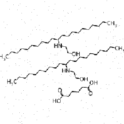 CCCCCCCCCCC(CCCCCCCCCC)NCCO.CCCCCCCCCCC(CCCCCCCCCC)NCCO.O=C(O)CCCCC(=O)O